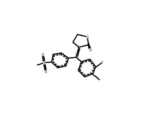 Cc1ccc(/C(=C2/CCOC2=O)c2ccc(S(C)(=O)=O)cc2)cc1F